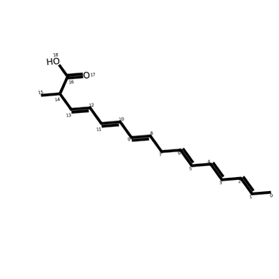 C/C=C/C=C/C=C/C/C=C/C=C/C=C/C(C)C(=O)O